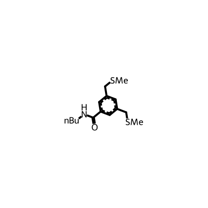 CCCCNC(=O)c1cc(CSC)cc(CSC)c1